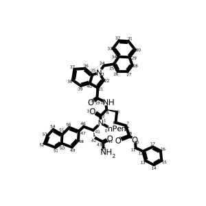 CCCCCN(C(=O)[C@H](CCCC(=O)OCc1ccccc1)NC(=O)c1cn(Cc2cccc3ccccc23)c2ccccc12)[C@H](CC(N)=O)Cc1ccc2ccccc2c1